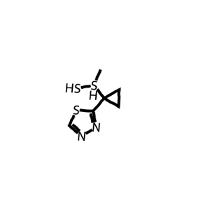 C[SH](S)C1(c2nncs2)CC1